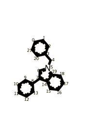 c1ccc(Cn2cc(-c3ccccc3)c3ccccc32)cc1